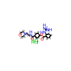 Cl.Cl.N=C(N)Nc1ccccc1C(=O)Oc1ccc(C(=O)NCCN2CCOCC2)cc1